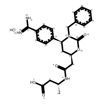 C[C@H](CC(=O)O)NC(=O)C[C@H]1C[C@@H](c2ccc(C(=N)N)cc2)N(Cc2ccccc2)C(=O)O1.Cl